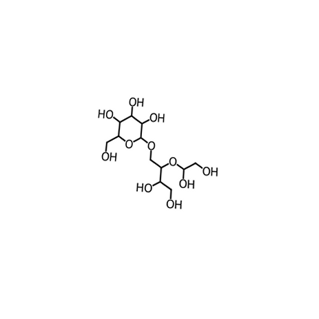 OCC(O)OC(COC1OC(CO)C(O)C(O)C1O)C(O)CO